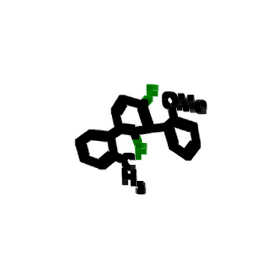 COc1ccccc1-c1c(F)ccc(-c2ccccc2C)c1F